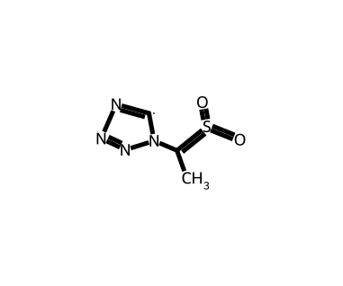 CC(n1[c]nnn1)=S(=O)=O